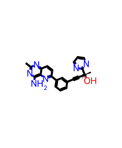 Cc1nc(N)c2nc(-c3cccc(C#C[C@@](C)(O)c4ncccn4)c3)ccc2n1